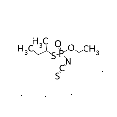 CCOP(=O)(N=C=S)SC(C)CC